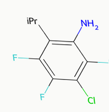 CC(C)c1c(N)c(F)c(Cl)c(F)c1F